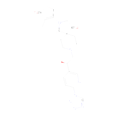 CC1=C(N2CC(=O)C3(CCN(C[C@H](O)c4ccc(-n5cnnn5)nc4)CC3)C2=O)COC1=O